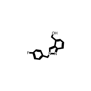 OCc1cccc2nn(Cc3ccc(F)cc3)cc12